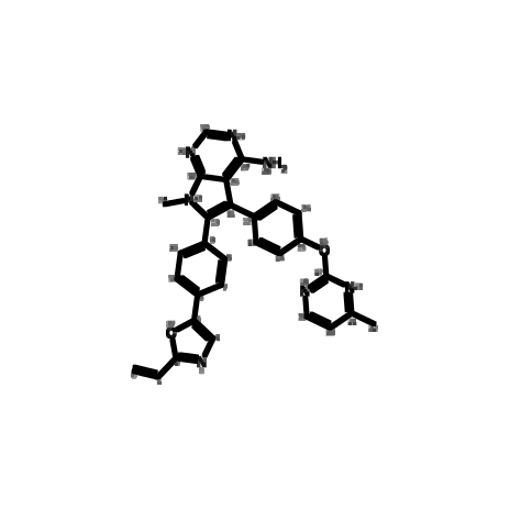 C=Cc1ncc(-c2ccc(-c3c(-c4ccc(Oc5nccc(C)n5)cc4)c4c(N)ncnc4n3C)cc2)o1